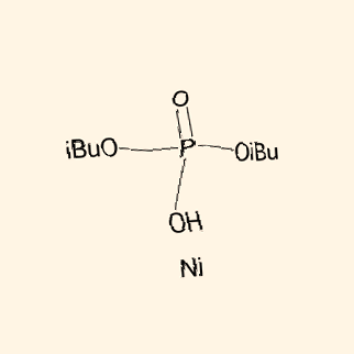 CC(C)COP(=O)(O)OCC(C)C.[Ni]